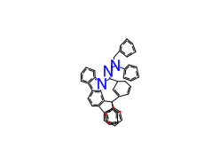 C1=CC2=CC(C1)/C(=N\N(Cc1ccccc1)c1ccccc1)n1c3ccccc3c3ccc4c(c31)C2(c1ccccc1)c1ccccc1-4